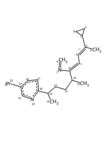 C=NC(=C/C=C(\C)C1CC1)C(C)CCC(C)c1ccc(C(C)C)cn1